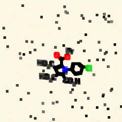 CC(C)OC(=O)c1c(C(=O)O)c(C(=O)O)c(C(=O)O)n1-c1ccc(Cl)cc1